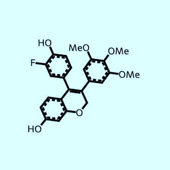 COc1cc(C2=C(c3ccc(O)c(F)c3)c3ccc(O)cc3OC2)cc(OC)c1OC